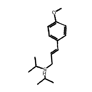 COc1ccc(C=CC[SiH](C(C)C)C(C)C)cc1